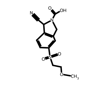 COCCS(=O)(=O)c1ccc2c(c1)CN(C(=O)O)C2C#N